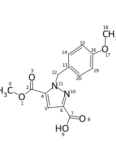 COC(=O)c1cc(C(=O)O)nn1Cc1ccc(OC)cc1